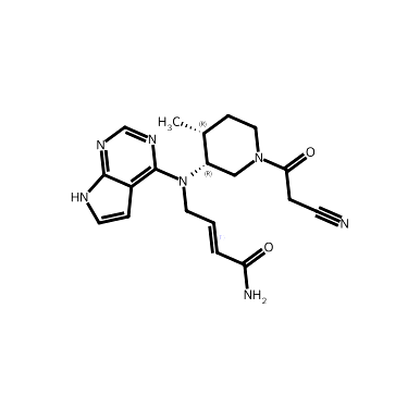 C[C@@H]1CCN(C(=O)CC#N)C[C@@H]1N(C/C=C/C(N)=O)c1ncnc2[nH]ccc12